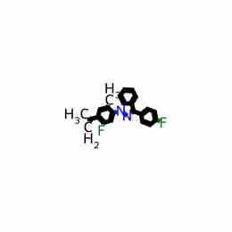 C=C(C)c1cc(C)c(-n2nc(-c3ccc(F)cc3)c3ccccc32)cc1F